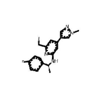 C[C@H](Nc1cc(-c2cnn(C)c2)cc(CI)n1)c1ccc(F)cc1